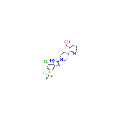 OCc1cccnc1N1CCN(c2nc3cc(C(F)(F)F)cc(Cl)c3[nH]2)CC1